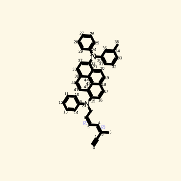 C#C/C(C)=C\C=C/CN(c1ccccc1)c1ccc2ccc3c(N(c4ccccc4)c4cccc(C)c4)ccc4ccc1c2c43